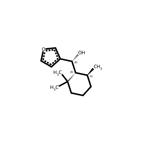 C[C@H]1CCCC(C)(C)[C@@H]1[C@@H](O)c1ccoc1